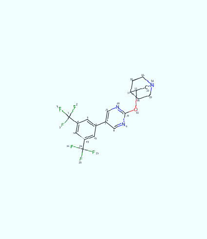 FC(F)(F)c1cc(-c2cnc(OC3CN4CCC3CC4)nc2)cc(C(F)(F)F)c1